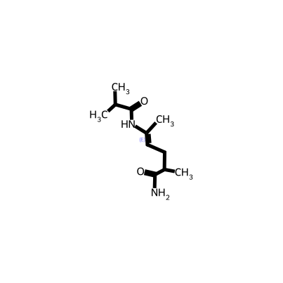 C/C(=C\CC(C)C(N)=O)NC(=O)C(C)C